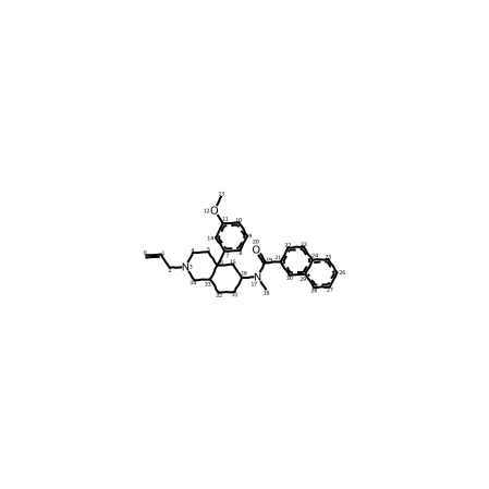 C=CCN1CCC2(c3cccc(OC)c3)CC(N(C)C(=O)c3ccc4ccccc4c3)CCC2C1